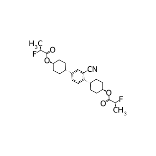 C[C@H](F)C(=O)O[C@H]1CC[C@H](c2ccc([C@H]3CC[C@H](OC(=O)[C@H](C)F)CC3)c(C#N)c2)CC1